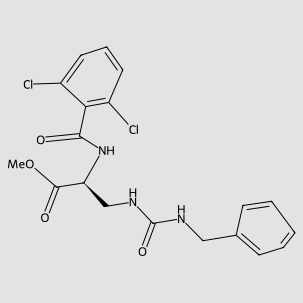 COC(=O)[C@H](CNC(=O)NCc1ccccc1)NC(=O)c1c(Cl)cccc1Cl